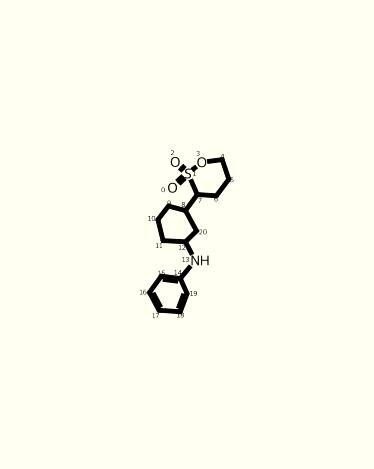 O=S1(=O)OCCCC1C1CCCC(Nc2ccccc2)C1